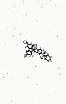 O=S(=O)(c1ccc2c(c1)OC(c1ccc(F)cc1)(c1ccc(Cl)cc1Cl)O2)N1CCCCC1